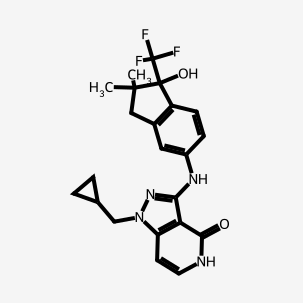 CC1(C)Cc2cc(Nc3nn(CC4CC4)c4cc[nH]c(=O)c34)ccc2C1(O)C(F)(F)F